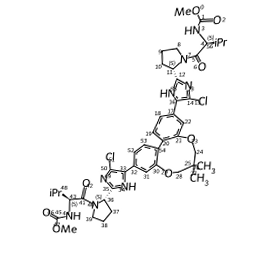 COC(=O)N[C@H](C(=O)N1CCC[C@H]1c1nc(Cl)c(-c2ccc3c(c2)OCC(C)(C)COc2cc(-c4[nH]c([C@@H]5CCCN5C(=O)[C@@H](NC(=O)OC)C(C)C)nc4Cl)ccc2-3)[nH]1)C(C)C